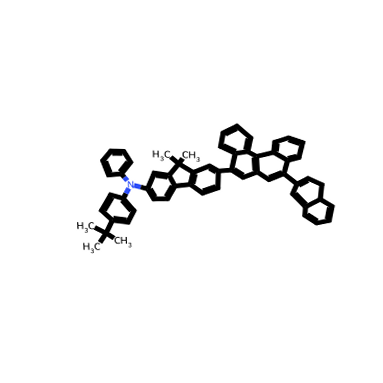 CC(C)(C)c1ccc(N(c2ccccc2)c2ccc3c(c2)C(C)(C)c2cc(-c4cc5cc(C6=CCC7C=CC=CC7=C6)c6ccccc6c5c5ccccc45)ccc2-3)cc1